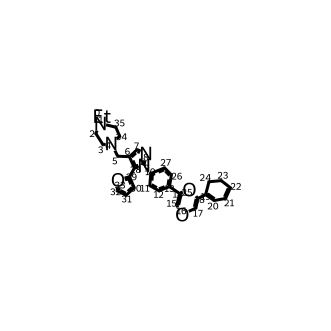 CCN1CCN(Cc2cnn(-c3ccc(C4=COC=C(C5=CC=CCC5)O4)cc3)c2-c2ccco2)CC1